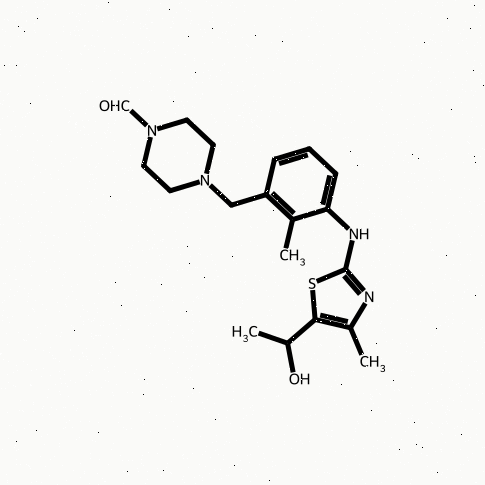 Cc1nc(Nc2cccc(CN3CCN(C=O)CC3)c2C)sc1C(C)O